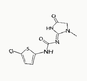 CN1CC(=O)NC1=NC(=O)Nc1ccc(Cl)s1